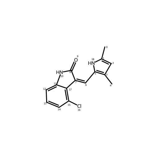 Cc1cc(C)c(C=C2C(=O)Nc3cccc(Cl)c32)[nH]1